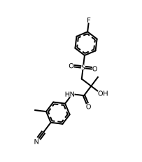 Cc1cc(NC(=O)C(C)(O)CS(=O)(=O)c2ccc(F)cc2)ccc1C#N